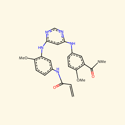 C=CC(=O)Nc1ccc(OC)c(Nc2cc(Nc3ccc(OC)c(C(=O)NC)c3)ncn2)c1